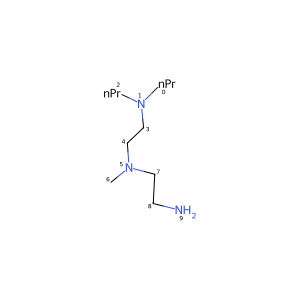 CCCN(CCC)CCN(C)CCN